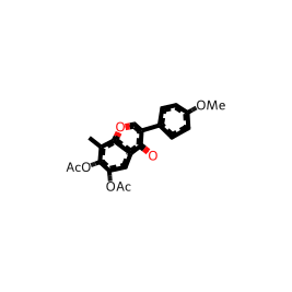 COc1ccc(-c2coc3c(C)c(OC(C)=O)c(OC(C)=O)cc3c2=O)cc1